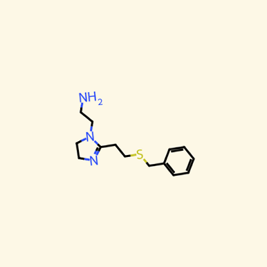 NCCN1CCN=C1CCSCc1ccccc1